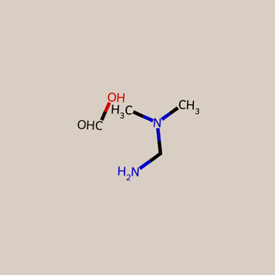 CN(C)CN.O=CO